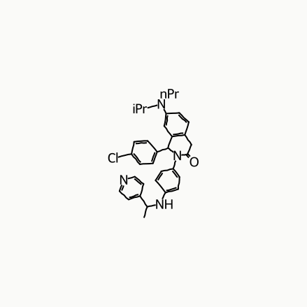 CCCN(c1ccc2c(c1)C(c1ccc(Cl)cc1)N(c1ccc(NC(C)c3ccncc3)cc1)C(=O)C2)C(C)C